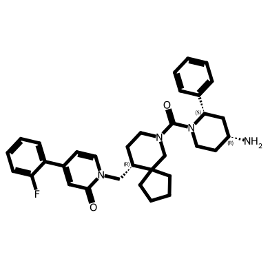 N[C@@H]1CCN(C(=O)N2CC[C@@H](Cn3ccc(-c4ccccc4F)cc3=O)C3(CCCC3)C2)[C@H](c2ccccc2)C1